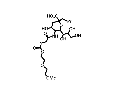 COCCOCCOC(=O)NCC(=O)NC1C(O)CC(CC(C)C)(C(=O)O)OC1C(O)C(O)CO